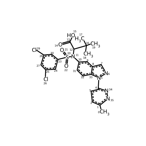 Cc1ccc(-n2ncc3cc(N(C(C(=O)O)C(C)(C)C)S(=O)(=O)c4cc(Cl)cc(Cl)c4)ccc32)nn1